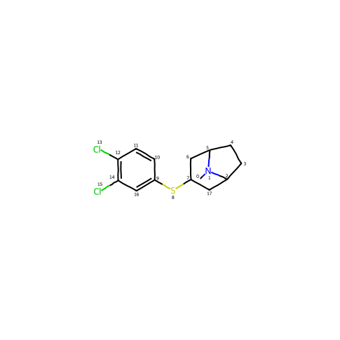 CN1C2CCC1CC(Sc1ccc(Cl)c(Cl)c1)C2